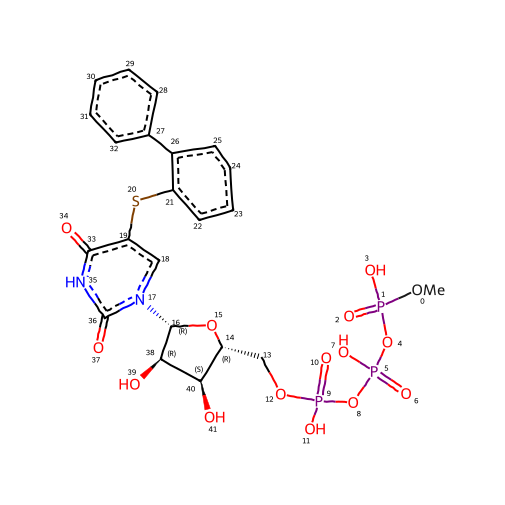 COP(=O)(O)OP(=O)(O)OP(=O)(O)OC[C@H]1O[C@@H](n2cc(Sc3ccccc3-c3ccccc3)c(=O)[nH]c2=O)[C@H](O)[C@@H]1O